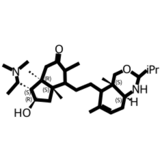 CC1=CC[C@@H]2NC(C(C)C)OC[C@@]2(C)C1CCC1C(C)C(=O)C[C@]2(C)[C@@H](C(C)N(C)C)[C@H](O)C[C@@]12C